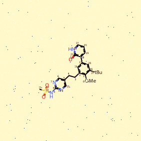 COc1c(CCc2cnc(NS(C)(=O)=O)nc2)cc(-c2ccc[nH]c2=O)cc1C(C)(C)C